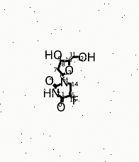 O=C1NC(=O)N([C@H]2C[C@H](O)[C@@H](CO)O2)CC1F